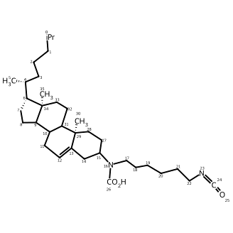 CC(C)CCC[C@@H](C)[C@H]1CCC2C3CC=C4CC(N(CCCCCCN=C=O)C(=O)O)CC[C@]4(C)C3CC[C@@]21C